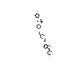 C[C@@H]1CC(CCO[C@H]2CC[C@H](N3C(=S)N(c4ccc(C#N)c(C(F)(F)F)c4)C(=O)C3(C)C)CC2)C[C@H](C)N1CC(=O)Nc1cccc2c(C3CCC(=O)NC3=O)nn(C)c12